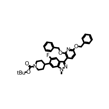 Cn1nc(-c2ccc(OCc3ccccc3)nc2OCc2ccccc2)c2cc(F)c(C3CCN(C(=O)OC(C)(C)C)CC3)cc21